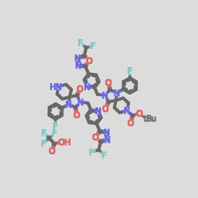 CC(C)(C)OC(=O)N1CCC2(CC1)C(=O)N(Cc1ccc(-c3nnc(C(F)F)o3)cn1)C(=O)N2c1cccc(F)c1.O=C(O)C(F)(F)F.O=C1N(Cc2ccc(-c3nnc(C(F)F)o3)cn2)C(=O)C2(CCNCC2)N1c1cccc(F)c1